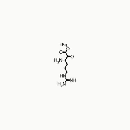 CC(C)(C)OC(=O)C(=O)[C@@H](N)CCCNC(=N)N